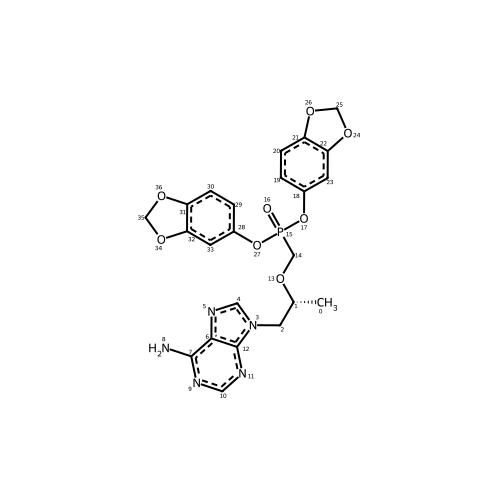 C[C@H](Cn1cnc2c(N)ncnc21)OCP(=O)(Oc1ccc2c(c1)OCO2)Oc1ccc2c(c1)OCO2